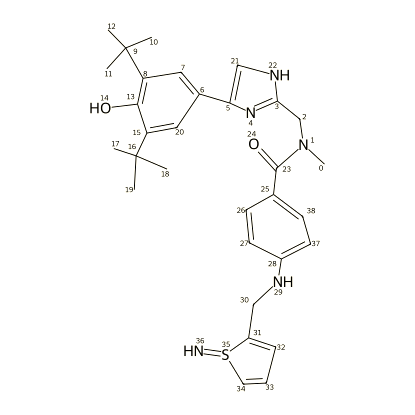 CN(Cc1nc(-c2cc(C(C)(C)C)c(O)c(C(C)(C)C)c2)c[nH]1)C(=O)c1ccc(NCC2=CC=CS2=N)cc1